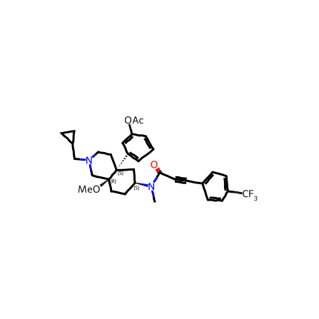 CO[C@]12CC[C@H](N(C)C(=O)C#Cc3ccc(C(F)(F)F)cc3)C[C@]1(c1cccc(OC(C)=O)c1)CCN(CC1CC1)C2